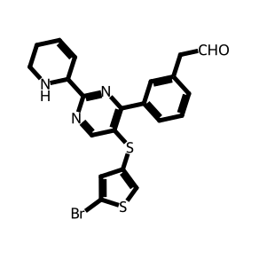 O=CCc1cccc(-c2nc(C3C=CCCN3)ncc2Sc2csc(Br)c2)c1